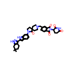 CC1(C)CCc2c(-c3cc4ccc(N5CCC6(CCN(Cc7ccc8c(c7)C(=O)N(C7CCC(=O)NC7=O)C8=O)CC6)C5=O)cc4[nH]3)n[nH]c2C1